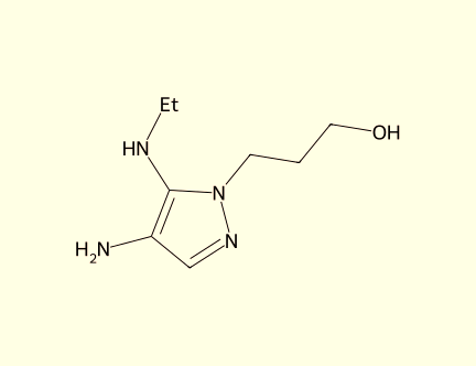 CCNc1c(N)cnn1CCCO